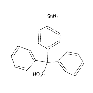 O=C(O)C(c1ccccc1)(c1ccccc1)c1ccccc1.[SnH4]